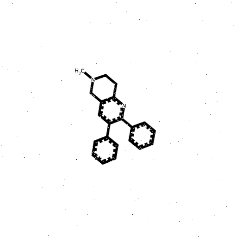 CN1CCc2nc(-c3ccccc3)c(-c3ccccc3)cc2C1